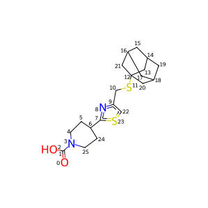 O=C(O)N1CCC(c2nc(CSC34CC5CC(CC(C5)C3)C4)cs2)CC1